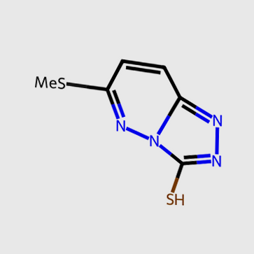 CSc1ccc2nnc(S)n2n1